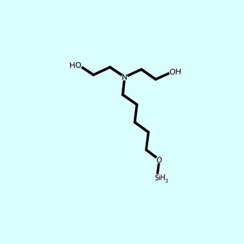 OCCN(CCO)CCCCCO[SiH3]